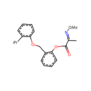 CON=C(C)C(=O)Oc1ccccc1COc1ccccc1C(C)C